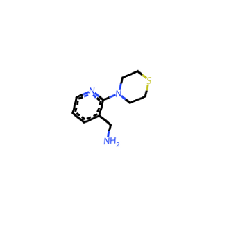 NCc1cccnc1N1CCSCC1